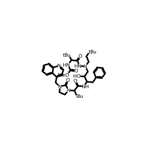 CCC(C)C(C(=O)NC(Cc1ccccc1)C(O)CN(CCC(C)(C)C)NC(=O)C(NC(=O)OC)C(C)(C)C)N1CCN(Cc2ccnc3ccccc23)C1=O